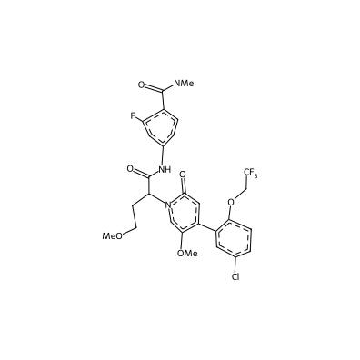 CNC(=O)c1ccc(NC(=O)C(CCOC)n2cc(OC)c(-c3cc(Cl)ccc3OCC(F)(F)F)cc2=O)cc1F